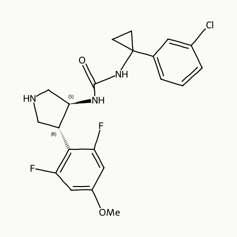 COc1cc(F)c([C@@H]2CNC[C@H]2NC(=O)NC2(c3cccc(Cl)c3)CC2)c(F)c1